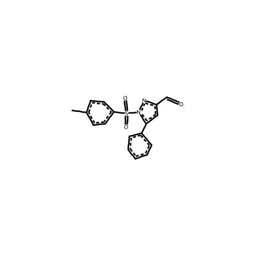 Cc1ccc(S(=O)(=O)n2nc(C=O)cc2-c2ccccc2)cc1